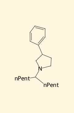 CCCCCC(CCCCC)N1CCC(c2ccccc2)C1